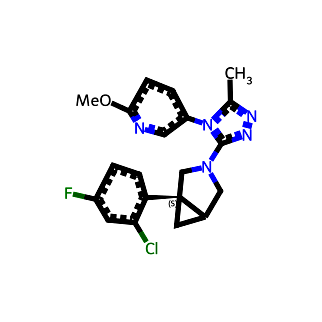 COc1ccc(-n2c(C)nnc2N2CC3C[C@]3(c3ccc(F)cc3Cl)C2)cn1